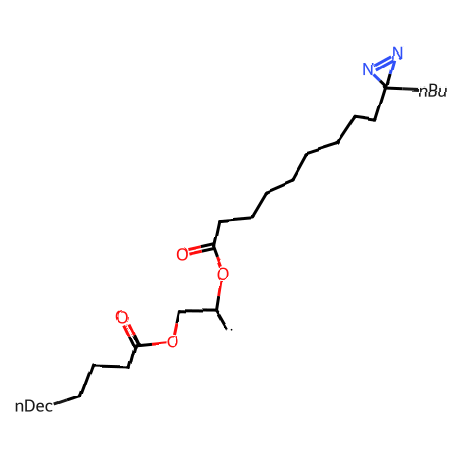 [CH2]C(COC(=O)CCCCCCCCCCCCC)OC(=O)CCCCCCCCC1(CCCC)N=N1